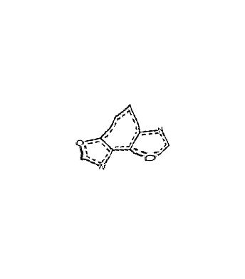 c1nc2c(ccc3ncoc32)o1